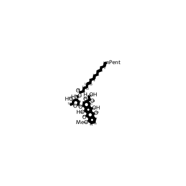 CCCCCC=CCC=CCC=CCC=CCCCC(=O)ONC1CC(O[C@H]2C[C@](O)(C(=O)CO)Cc3c(O)c4c(c(O)c32)C(=O)c2c(OC)cccc2C4=O)OC(C)C1O